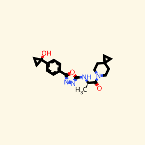 C[C@H](Nc1nnc(-c2ccc(C3(O)CC3)cc2)o1)C(=O)N1CCC2(CC1)CC2